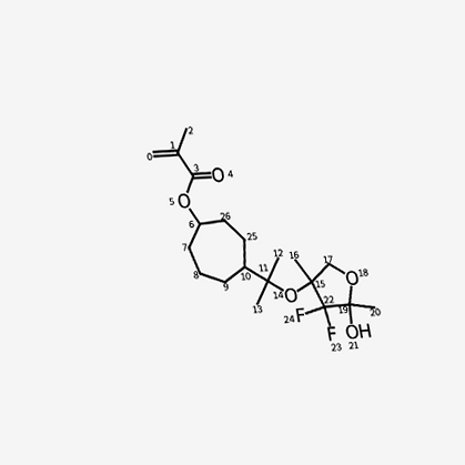 C=C(C)C(=O)OC1CCCC(C(C)(C)OC2(C)COC(C)(O)C2(F)F)CC1